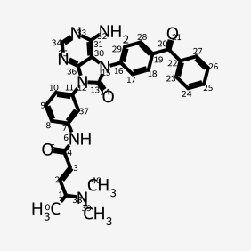 CC(/C=C/C(=O)Nc1cccc(-n2c(=O)n(-c3ccc(C(=O)c4ccccc4)cc3)c3c(N)ncnc32)c1)N(C)C